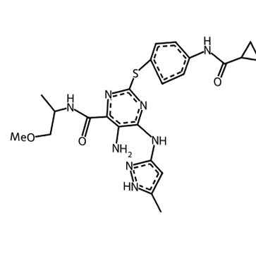 COCC(C)NC(=O)c1nc(Sc2ccc(NC(=O)C3CC3)cc2)nc(Nc2cc(C)[nH]n2)c1N